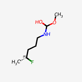 COC(O)NCCC[C@@H](C)F